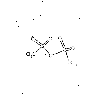 O=S(=O)(OS(=O)(=O)C(Cl)(Cl)Cl)C(Cl)(Cl)Cl